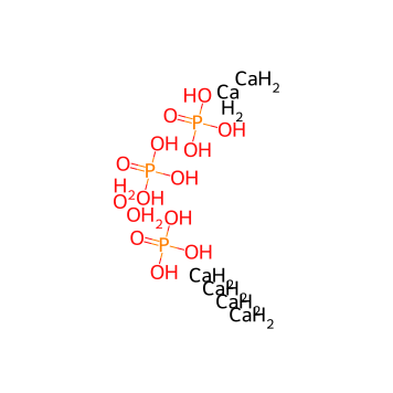 O.O.O=P(O)(O)O.O=P(O)(O)O.O=P(O)(O)O.[CaH2].[CaH2].[CaH2].[CaH2].[CaH2].[CaH2]